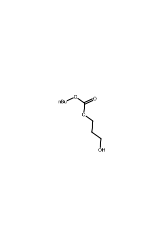 CCCCOC(=O)OCCCO